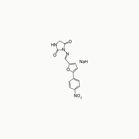 O=C1CNC(=O)N1N=Cc1ccc(-c2ccc([N+](=O)[O-])cc2)o1.[NaH]